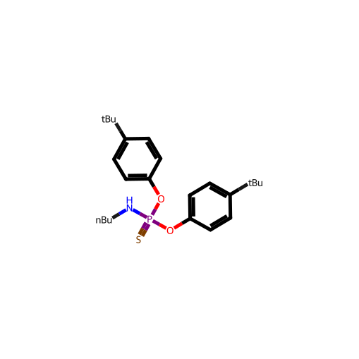 CCCCNP(=S)(Oc1ccc(C(C)(C)C)cc1)Oc1ccc(C(C)(C)C)cc1